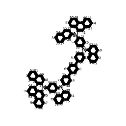 c1ccc2cc(N(c3ccc(N(c4ccc(-c5ccc(-c6ccc(N(c7ccc(N(c8ccc9ccccc9c8)c8cc9ccccc9c9ccccc89)cc7)c7cccc8ccccc78)cc6)cc5)cc4)c4cccc5ccccc45)cc3)c3cc4ccccc4c4ccccc34)ccc2c1